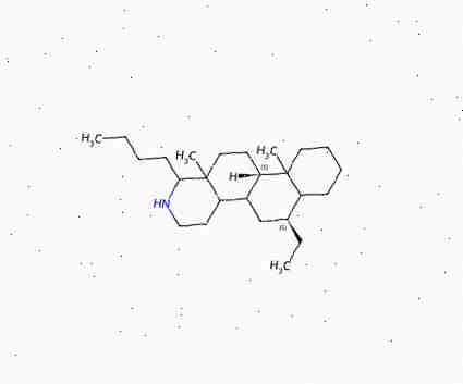 CCCCC1NCCC2C3C[C@H](CC)C4CCCCC4(C)[C@H]3CCC12C